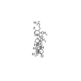 CCCCC(C(F)F)C(C)NC(=O)[C@H]1CC[C@H]2[C@@H]3CC[C@H]4N(C)C(=O)CC[C@]4(C)[C@H]3CC[C@]12C